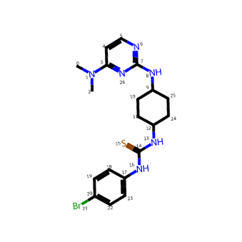 CN(C)c1ccnc(NC2CCC(NC(=S)Nc3ccc(Br)cc3)CC2)n1